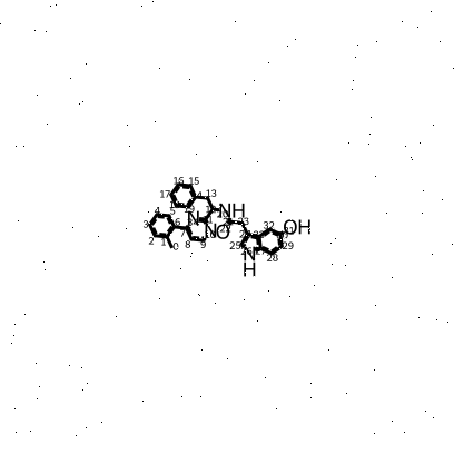 Cc1ccccc1-c1ccnc(C(Cc2ccccc2)NC(=O)Cc2c[nH]c3ccc(O)cc23)n1